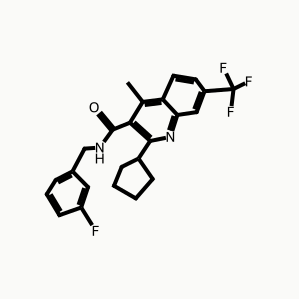 Cc1c(C(=O)NCc2cccc(F)c2)c(C2CCCC2)nc2cc(C(F)(F)F)ccc12